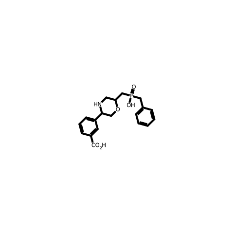 O=C(O)c1cccc(C2COC(CP(=O)(O)Cc3ccccc3)CN2)c1